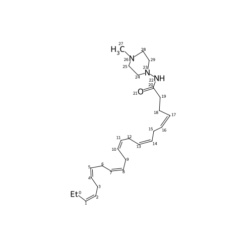 CC/C=C\C/C=C\C/C=C\C/C=C\C/C=C\C/C=C\CCC(=O)NN1CCN(C)CC1